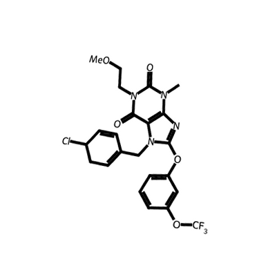 COCCn1c(=O)c2c(nc(Oc3cccc(OC(F)(F)F)c3)n2CC2=CCC(Cl)C=C2)n(C)c1=O